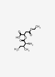 CCOC(=O)CC(OC(=O)[C@@H](N)[C@@H](C)CC)C(=O)O